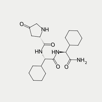 NC(=O)[C@@H](NC(=O)[C@@H](NC(=O)[C@@H]1CC(=O)CN1)C1CCCCC1)C1CCCCC1